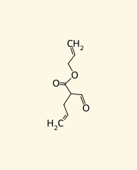 C=CCOC(=O)C(C=O)CC=C